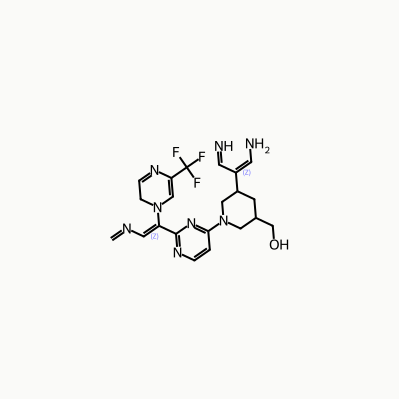 C=N/C=C(/c1nccc(N2CC(CO)CC(/C(C=N)=C/N)C2)n1)N1C=C(C(F)(F)F)N=CC1